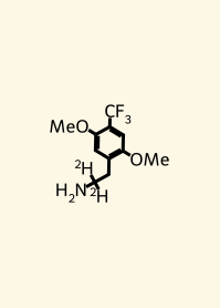 [2H]C([2H])(N)Cc1cc(OC)c(C(F)(F)F)cc1OC